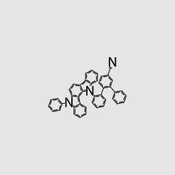 N#Cc1ccc(-c2ccccc2-n2c3ccccc3c3ccc4c(c5ccccc5n4-c4ccccc4)c32)c(-c2ccccc2)c1